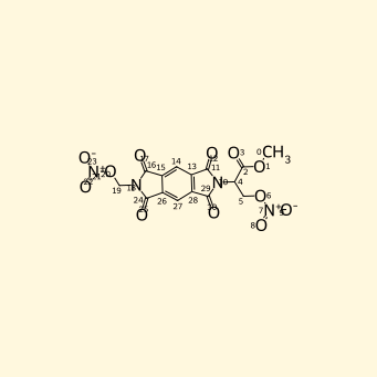 COC(=O)C(CO[N+](=O)[O-])n1c(=O)c2cc3c(=O)n(CO[N+](=O)[O-])c(=O)c3cc2c1=O